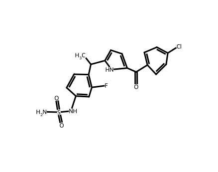 CC(c1ccc(C(=O)c2ccc(Cl)cc2)[nH]1)c1ccc(NS(N)(=O)=O)cc1F